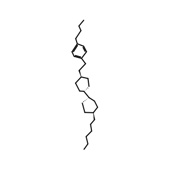 CCCCCC[C@H]1CC[C@H]([C@H]2CC[C@H](CCc3ccc(CCCC)cc3)CC2)CC1